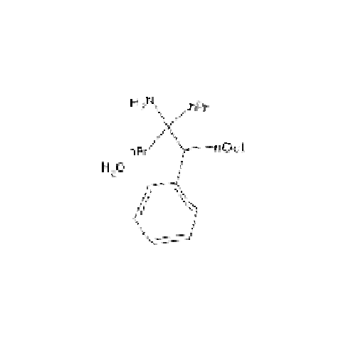 CCCCCCCCC(c1ccccc1)C(N)(CCC)CCC.O